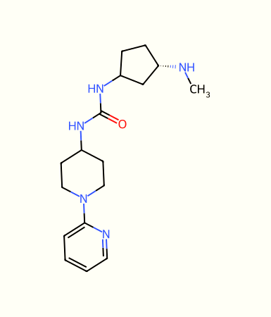 CN[C@H]1CCC(NC(=O)NC2CCN(c3ccccn3)CC2)C1